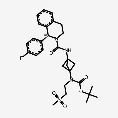 CC(C)(C)OC(=O)N(CCS(C)(=O)=O)C12CC(NC(=O)N3CCc4ccccc4[C@@H]3c3ccc(F)cc3)(C1)C2